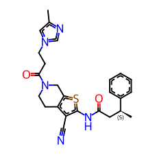 Cc1cn(CCC(=O)N2CCc3c(sc(NC(=O)C[C@H](C)c4ccccc4)c3C#N)C2)cn1